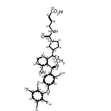 CCC(c1ncnc(N)c1/C(=N\C)c1ccc(Oc2c(F)c(F)cc(F)c2F)cc1F)C1CCN(C(=O)NC/C=C/C(=O)O)C1